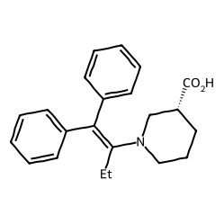 CCC(=C(c1ccccc1)c1ccccc1)N1CCC[C@@H](C(=O)O)C1